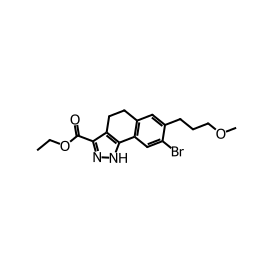 CCOC(=O)c1n[nH]c2c1CCc1cc(CCCOC)c(Br)cc1-2